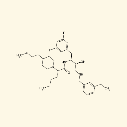 CCCC[C@@H](C(=O)N[C@@H](Cc1cc(F)cc(F)c1)[C@@H](O)CNCc1cccc(CC)c1)N1CCC(CCOC)CC1